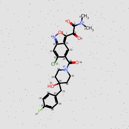 CN(C)C(=O)C(=O)c1onc2cc(Cl)c(C(=O)N3CCC(O)(Cc4ccc(F)cc4)CC3)cc12